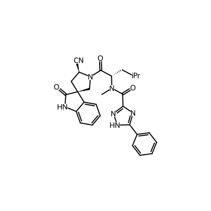 CC(C)C[C@@H](C(=O)N1C[C@]2(C[C@H]1C#N)C(=O)Nc1ccccc12)N(C)C(=O)c1n[nH]c(-c2ccccc2)n1